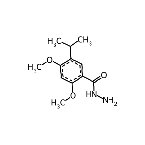 COc1cc(OC)c(C(C)C)cc1C(=O)NN